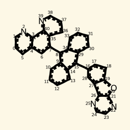 c1cnc2c(c1)cc(-c1c3ccccc3c(-c3ccc4oc5nccnc5c4c3)c3ccccc13)c1cccnc12